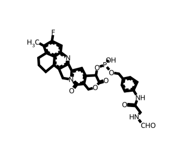 Cc1c(F)cc2nc3c(c4c2c1CCC4)Cn1c-3cc2c(c1=O)COC(=O)C2OP(O)OCc1ccc(NC(=O)CNC=O)cc1